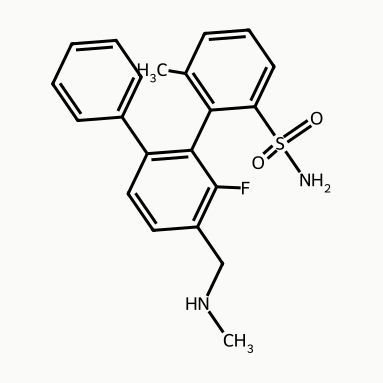 CNCc1ccc(-c2ccccc2)c(-c2c(C)cccc2S(N)(=O)=O)c1F